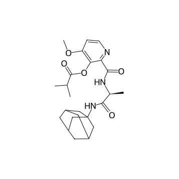 COc1ccnc(C(=O)N[C@@H](C)C(=O)NC23CC4CC(CC(C4)C2)C3)c1OC(=O)C(C)C